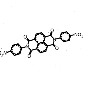 O=C1c2ccc3c4c(ccc(c24)C(=O)N1c1ccc([N+](=O)[O-])cc1)C(=O)N(c1ccc([N+](=O)[O-])cc1)C3=O